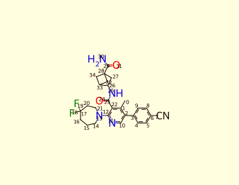 Cc1c(-c2ccc(C#N)cc2)cnc(N2CCCC(F)(F)CC2)c1C(=O)NC1CC2(C(N)=O)CC1C2